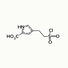 O=C(O)c1cc(CCS(=O)(=O)Cl)c[nH]1